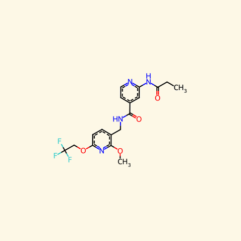 CCC(=O)Nc1cc(C(=O)NCc2ccc(OCC(F)(F)F)nc2OC)ccn1